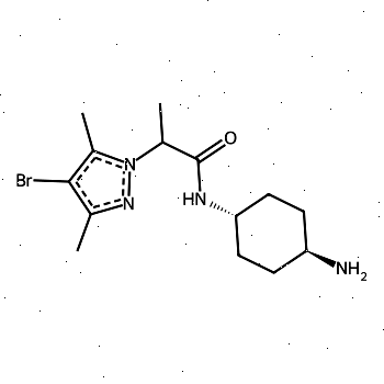 Cc1nn(C(C)C(=O)N[C@H]2CC[C@H](N)CC2)c(C)c1Br